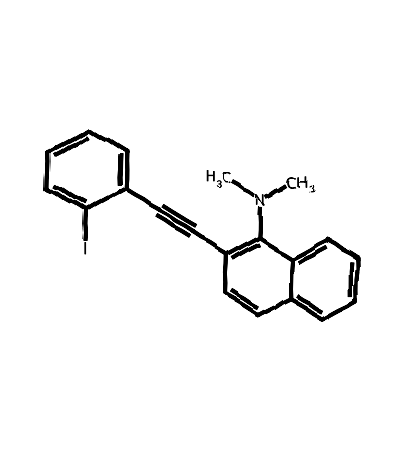 CN(C)c1c(C#Cc2ccccc2I)ccc2ccccc12